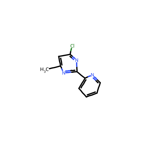 Cc1cc(Cl)nc(-c2ccccn2)n1